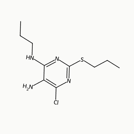 CCCNc1nc(SCCC)nc(Cl)c1N